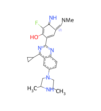 CN/C=C1/C=C(c2nc(C3CC3)c3cc(N4CC(C)NC(C)C4)ccc3n2)C(O)=C(F)C1=N